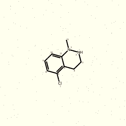 CN1NCCc2c(Cl)cccc21